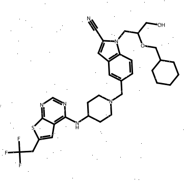 N#Cc1cc2cc(CN3CCC(Nc4ncnc5sc(CC(F)(F)F)cc45)CC3)ccc2n1CC(CO)OCC1CCCCC1